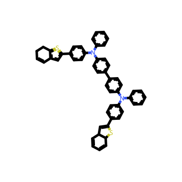 C1=CC2C=C(c3ccc(N(c4ccccc4)c4ccc(-c5ccc(N(c6ccccc6)c6ccc(-c7cc8c(s7)CCC=C8)cc6)cc5)cc4)cc3)SC2C=C1